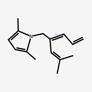 C=C/C=C(\C=C(C)C)Cn1c(C)ccc1C